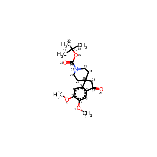 COc1cc2c(cc1OC)C1(CCN(C(=O)OC(C)(C)C)CC1)CC2=O